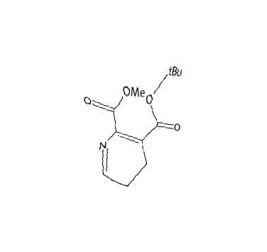 COC(=O)C1=C(C(=O)OC(C)(C)C)CCC=N1